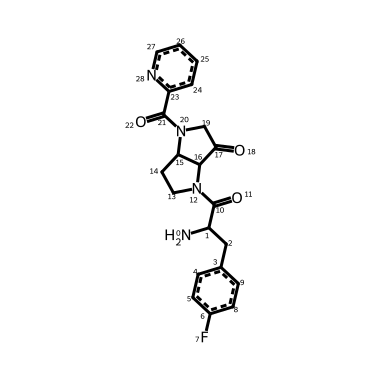 NC(Cc1ccc(F)cc1)C(=O)N1CCC2C1C(=O)CN2C(=O)c1ccccn1